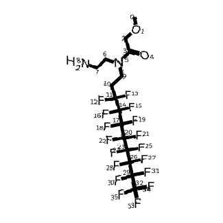 COCC(=O)N(CCN)CCC(F)(F)C(F)(F)C(F)(F)C(F)(F)C(F)(F)C(F)(F)C(F)(F)C(F)(F)F